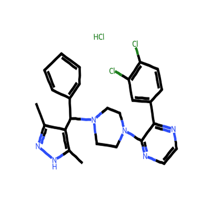 Cc1n[nH]c(C)c1C(c1ccccc1)N1CCN(c2nccnc2-c2ccc(Cl)c(Cl)c2)CC1.Cl